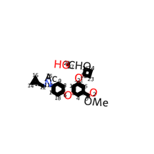 COC(=O)c1cc(Oc2ccc(N(CC3CC3)C(C)=O)cc2)cc(OC2CCC2)c1.O=CO